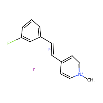 C[n+]1ccc(/C=C/c2cccc(F)c2)cc1.[I-]